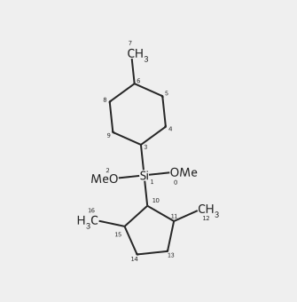 CO[Si](OC)(C1CCC(C)CC1)C1C(C)CCC1C